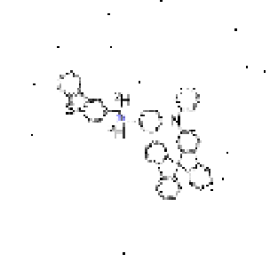 [2H]/C(=C(/[2H])c1ccc2sc3ccccc3c2c1)c1ccc(N(c2ccccc2)c2ccc3c(c2)C2(c4ccccc4-c4ccccc42)c2ccccc2-3)cc1